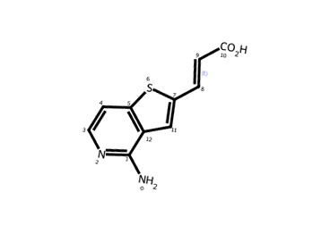 Nc1nccc2sc(/C=C/C(=O)O)cc12